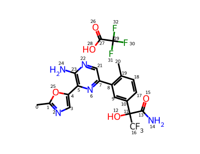 Cc1ncc(-c2nc(-c3cc(C(O)(C(N)=O)C(F)(F)F)ccc3C)cnc2N)o1.O=C(O)C(F)(F)F